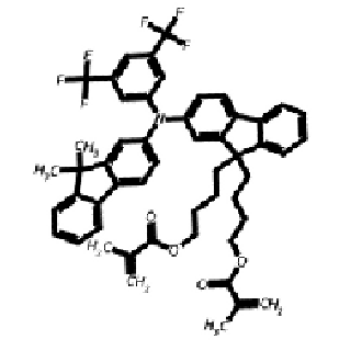 C=C(C)C(=O)OCCCCC1(CCCCOC(=O)C(=C)C)c2ccccc2-c2ccc(N(c3cc(C(F)(F)F)cc(C(F)(F)F)c3)c3ccc4c(c3)C(C)(C)c3ccccc3-4)cc21